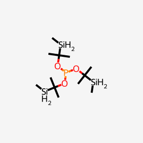 C[SiH2]C(C)(C)OP(OC(C)(C)[SiH2]C)OC(C)(C)[SiH2]C